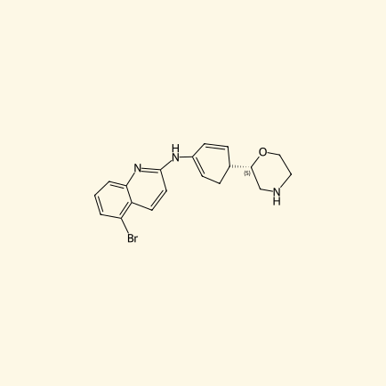 Brc1cccc2nc(NC3=CCC([C@H]4CNCCO4)C=C3)ccc12